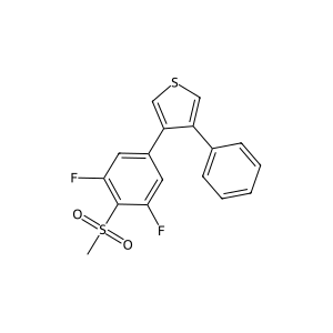 CS(=O)(=O)c1c(F)cc(-c2cscc2-c2ccccc2)cc1F